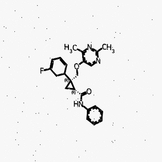 Cc1ncc(OC[C@@]2(C3C=CC=C(F)C3)C[C@H]2C(=O)Nc2ccccc2)c(C)n1